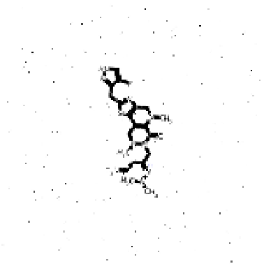 C=CC/C(CN1C(=O)C2=C(CN1C)c1sc(Cc3n[nH]cc3F)nc1CN2C)=N\N(C)C